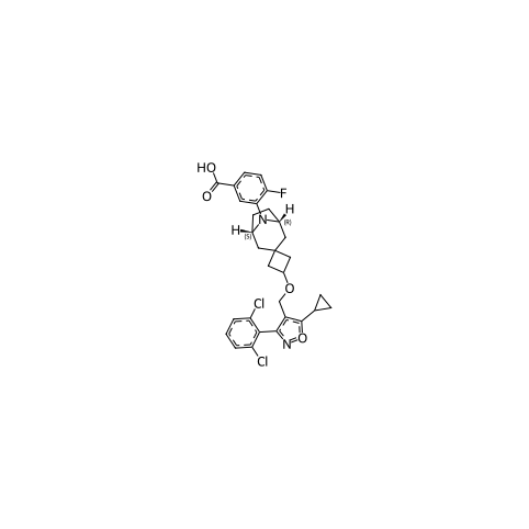 O=C(O)c1ccc(F)c(N2[C@@H]3CC[C@H]2CC2(CC(OCc4c(-c5c(Cl)cccc5Cl)noc4C4CC4)C2)C3)c1